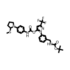 CSC1CCCN1c1ccc(NC(=O)Oc2cc(C(F)(F)F)nn2-c2cccc(CNC(=O)OC(C)(C)C)c2)cc1